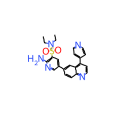 CCN(CC)S(=O)(=O)c1cc(-c2ccc3nccc(-c4ccncc4)c3c2)cnc1N